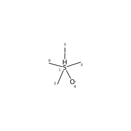 C[SH](C)(C)([O])I